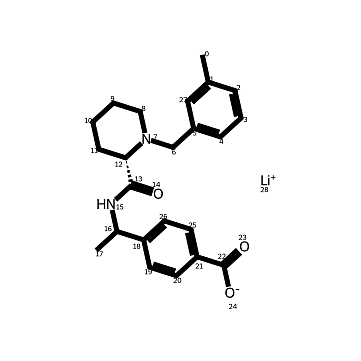 Cc1cccc(CN2CCCC[C@H]2C(=O)NC(C)c2ccc(C(=O)[O-])cc2)c1.[Li+]